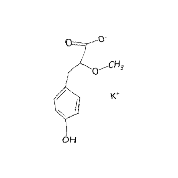 COC(Cc1ccc(O)cc1)C(=O)[O-].[K+]